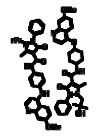 CCCn1c(C)c(C(=O)Nc2ccc(Nc3ccnc4cc(OC)ccc34)cc2)c(=O)n1-c1ccccc1.COc1ccc2c(OC3CCC(NC(=O)c4c(C)n(CC(C)(C)O)n(-c5ccccc5)c4=O)CC3)ccnc2c1